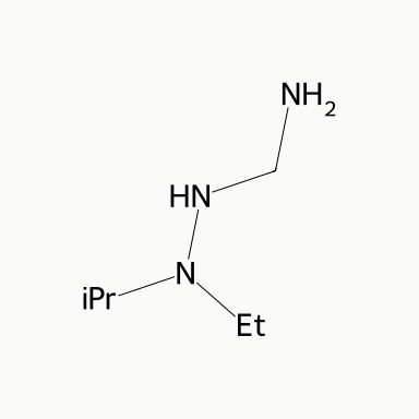 [CH2]C(C)N(CC)NCN